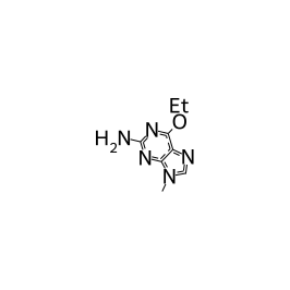 CCOc1nc(N)nc2c1ncn2C